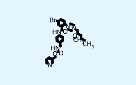 CCCCC(CN1CCN(c2ccc(Br)cc2C(=O)Nc2ccc(CNC(=O)OCc3cccnc3)cc2)CC1)OC